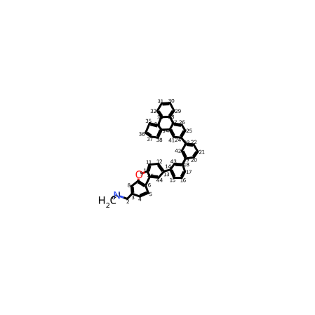 C=NCc1ccc2c(c1)oc1ccc(-c3cccc(-c4cccc(-c5ccc6c7ccccc7c7ccccc7c6c5)c4)c3)cc12